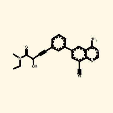 CCN(C)C(=O)C(O)C#Cc1cccc(-c2cc(C#N)c3ncnc(N)c3c2)c1